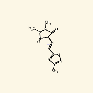 Cc1nsc(/N=N/C2C(=O)N(C)N(C)C2=O)n1